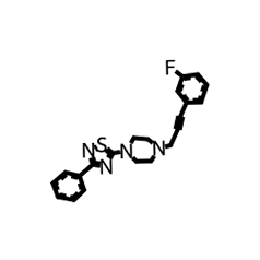 Fc1cccc(C#CCN2CCN(c3nc(-c4ccccc4)ns3)CC2)c1